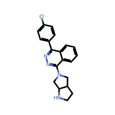 Clc1ccc(-c2nnc(N3CC4CCNC4C3)c3ccccc23)cc1